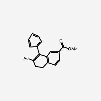 COC(=O)c1ccc2c(c1)C(c1ccccc1)=C(C(C)=O)CC2